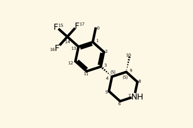 Cc1cc([C@H]2CCNC[C@H]2C)ccc1C(F)(F)F